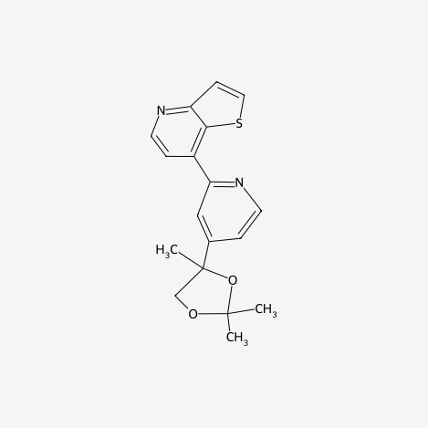 CC1(C)OCC(C)(c2ccnc(-c3ccnc4ccsc34)c2)O1